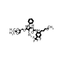 COCCCc1cc(F)c(C(F)(F)F)cc1NC(=O)Nc1c(C)c(OC[C@H]2COC(C)(C)O2)nn1-c1ccccc1